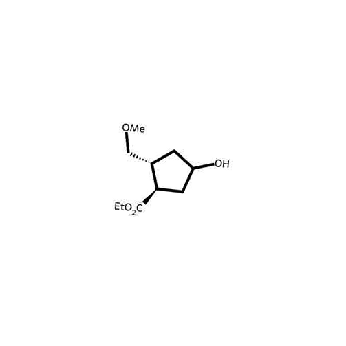 CCOC(=O)[C@@H]1CC(O)C[C@H]1COC